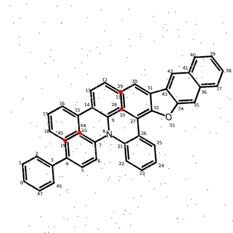 c1ccc(-c2ccc(N(c3ccccc3-c3ccccc3)c3ccccc3-c3cccc4c3oc3cc5ccccc5cc34)cc2)cc1